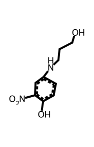 O=[N+]([O-])c1cc(NCCCO)ccc1O